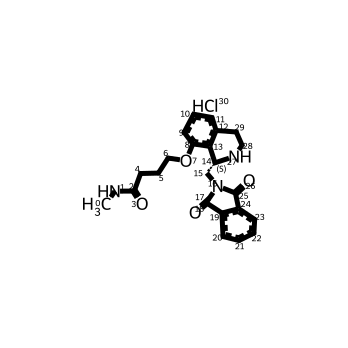 CNC(=O)CCCOc1cccc2c1[C@@H](CN1C(=O)c3ccccc3C1=O)NCC2.Cl